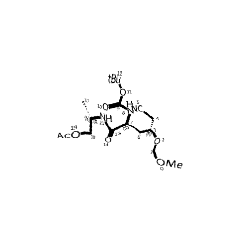 COCO[C@@H](CC#N)C[C@H](NC(=O)OC(C)(C)C)C(=O)N[C@@H](C)COC(C)=O